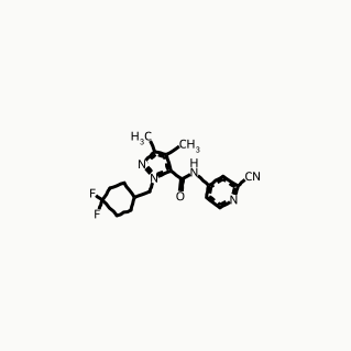 Cc1nn(CC2CCC(F)(F)CC2)c(C(=O)Nc2ccnc(C#N)c2)c1C